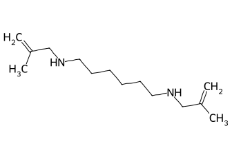 C=C(C)CNCCCCCCNCC(=C)C